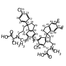 CC(C(=O)O)N(C)CCCC1(c2ccc(Cl)cc2)CCc2cc(F)c(F)cc21.CN(CCCC1(c2ccc(Cl)cc2)CCc2cc(F)c(F)cc21)CC(=O)O